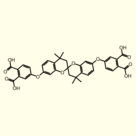 CC1(C)CC2(CC(C)(C)c3ccc(Oc4ccc(C(=O)O)c(C(=O)O)c4)cc3O2)Oc2cc(Oc3ccc(C(=O)O)c(C(=O)O)c3)ccc21